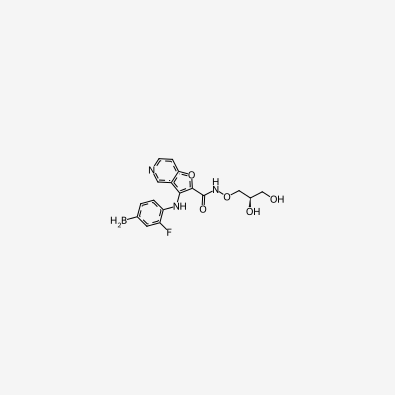 Bc1ccc(Nc2c(C(=O)NOC[C@H](O)CO)oc3ccncc23)c(F)c1